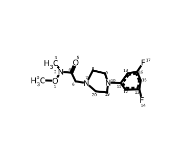 CON(C)C(=O)CN1CCN(c2cc(F)cc(F)c2)CC1